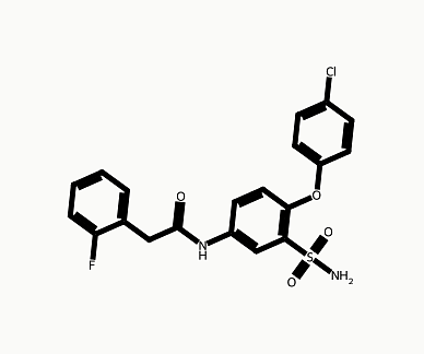 NS(=O)(=O)c1cc(NC(=O)Cc2ccccc2F)ccc1Oc1ccc(Cl)cc1